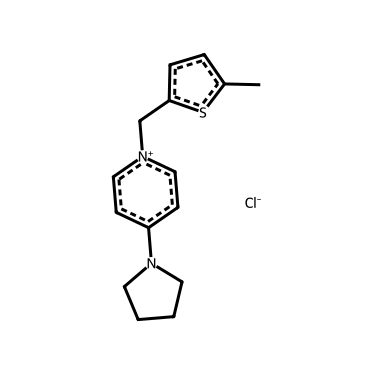 Cc1ccc(C[n+]2ccc(N3CCCC3)cc2)s1.[Cl-]